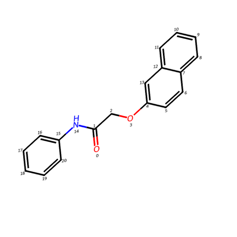 O=C(COc1ccc2ccccc2c1)Nc1ccccc1